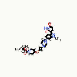 Cn1nc(C2CCC(=O)NC2=O)c2ccc(N3CCN([C@H]4C[C@H](OC5CCN(C(=O)OC(C)(C)C)CC5)C4)CC3)cc21